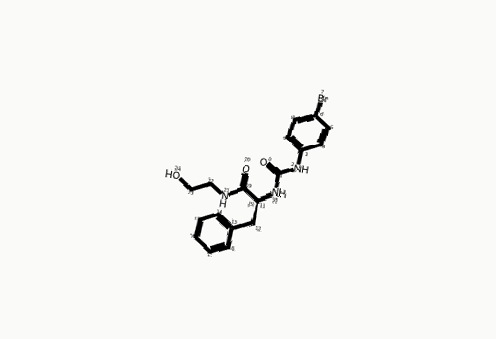 O=C(Nc1ccc(Br)cc1)N[C@@H](Cc1ccccc1)C(=O)NCCO